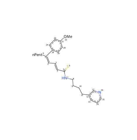 CCCCCC(=CC=CC(=S)NCCCCc1cccnc1)c1ccc(OC)cc1